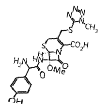 CO[C@@]1(NC(=O)C(N)c2ccc(O)cc2)C(=O)N2C(C(=O)O)=C(CSc3nnnn3C)CS[C@@H]21